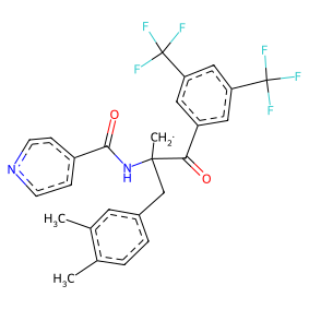 [CH2]C(Cc1ccc(C)c(C)c1)(NC(=O)c1ccncc1)C(=O)c1cc(C(F)(F)F)cc(C(F)(F)F)c1